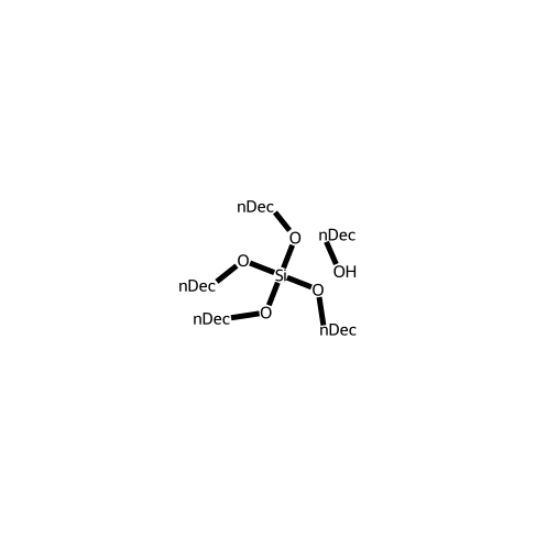 CCCCCCCCCCO.CCCCCCCCCCO[Si](OCCCCCCCCCC)(OCCCCCCCCCC)OCCCCCCCCCC